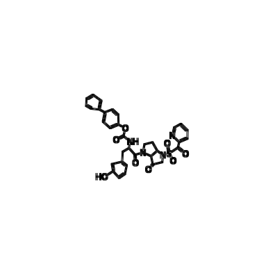 O=C(NC(Cc1cccc(O)c1)C(=O)N1CCC2C1C(=O)CN2S(=O)(=O)C(=O)c1ccccn1)Oc1ccc(-c2ccccc2)cc1